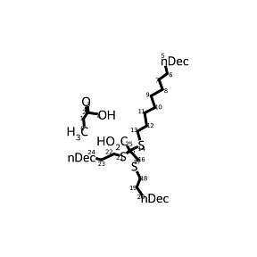 CCC(=O)O.CCCCCCCCCCCCCCCCCCSC(CSCCCCCCCCCCCC)(SCCCCCCCCCCCC)C(=O)O